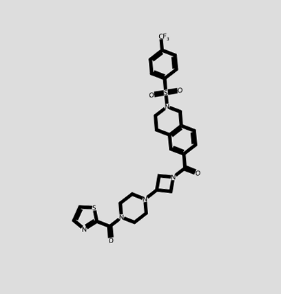 O=C(c1ccc2c(c1)CCN(S(=O)(=O)c1ccc(C(F)(F)F)cc1)C2)N1CC(N2CCN(C(=O)c3nccs3)CC2)C1